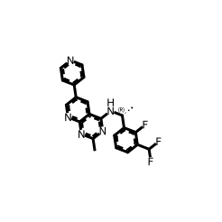 Cc1nc(N[C@H](C)c2cccc(C(F)F)c2F)c2cc(-c3ccncc3)cnc2n1